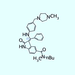 CCCCN(C)C(=O)c1ccc2c(c1)/C(=C(/Nc1ccc(CN3CCN(C)CC3)cc1)c1ccccc1)C(=O)N2